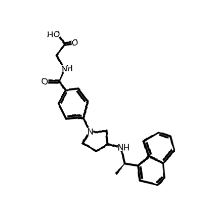 C[C@@H](NC1CCN(c2ccc(C(=O)NCC(=O)O)cc2)C1)c1cccc2ccccc12